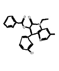 CCn1c(=O)c(OC(=O)c2ccccc2)c(-c2cccc(Cl)c2)c2ncc(C)cc21